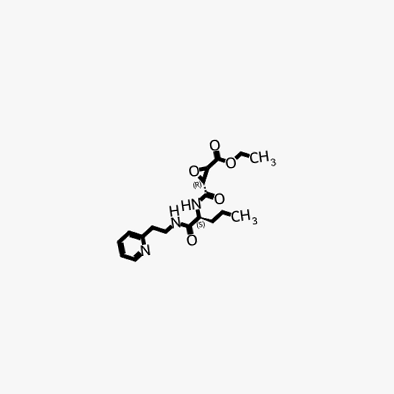 CCC[C@H](NC(=O)[C@@H]1OC1C(=O)OCC)C(=O)NCCc1ccccn1